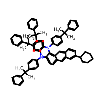 CC(C)(c1ccccc1)c1ccc(N(c2ccc(C(C)(C)c3ccccc3)cc2)c2ccc3cc4cc(C5CCCCC5)ccc4cc3c2N(c2ccc(C(C)(C)c3ccccc3)cc2)c2ccc(C(C)(C)c3ccccc3)cc2)cc1